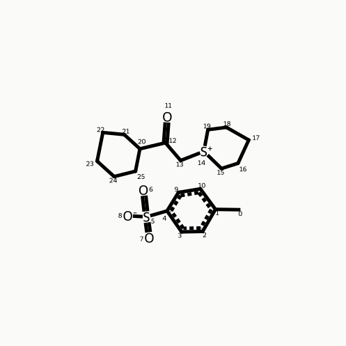 Cc1ccc(S(=O)(=O)[O-])cc1.O=C(C[S+]1CCCCC1)C1CCCCC1